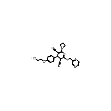 N#CC1=C(N2CCC2)N=C(SCc2cnccn2)C(C#N)C1c1ccc(OCCO)cc1